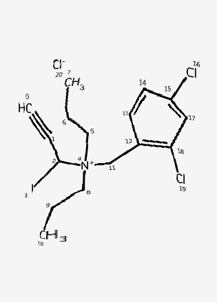 C#CC(I)[N+](CCC)(CCC)Cc1ccc(Cl)cc1Cl.[Cl-]